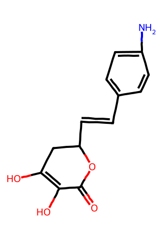 Nc1ccc(/C=C/C2CC(O)=C(O)C(=O)O2)cc1